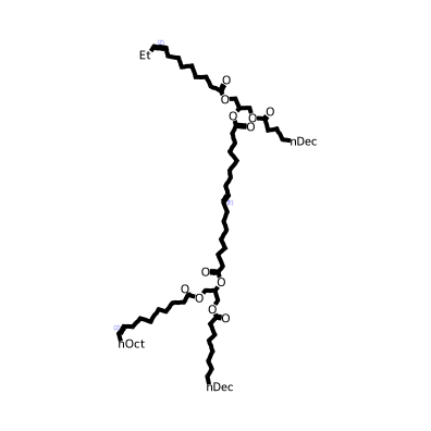 CC/C=C\CCCCCCCC(=O)OCC(COC(=O)CCCCCCCCCCCCC)OC(=O)CCCCCCC/C=C/CCCCCCCC(=O)OC(COC(=O)CCCCCCC/C=C\CCCCCCCC)COC(=O)CCCCCCCCCCCCCCCCC